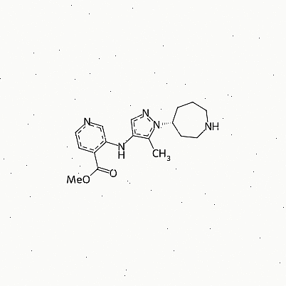 COC(=O)c1ccncc1Nc1cnn([C@@H]2CCCNCC2)c1C